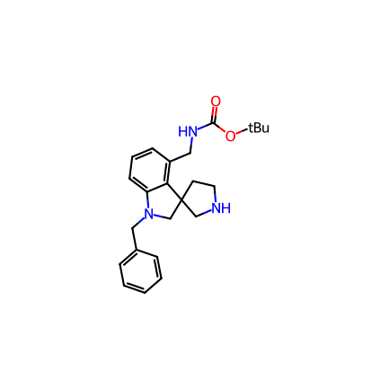 CC(C)(C)OC(=O)NCc1cccc2c1C1(CCNC1)CN2Cc1ccccc1